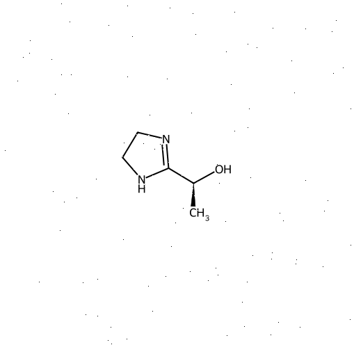 C[C@H](O)C1=NCCN1